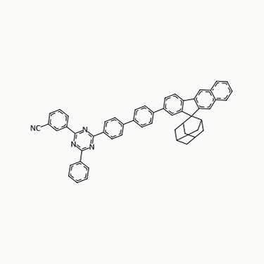 N#Cc1cccc(-c2nc(-c3ccccc3)nc(-c3ccc(-c4ccc(-c5ccc6c(c5)C5(c7cc8ccccc8cc7-6)C6CC7CC(C6)CC5C7)cc4)cc3)n2)c1